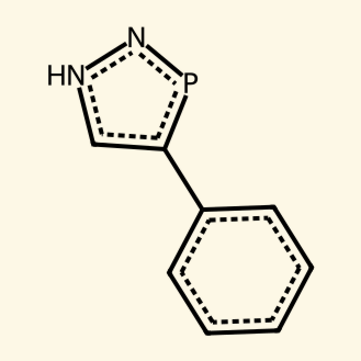 c1ccc(-c2c[nH]np2)cc1